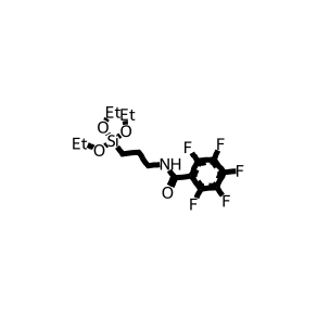 CCO[Si](CCCNC(=O)c1c(F)c(F)c(F)c(F)c1F)(OCC)OCC